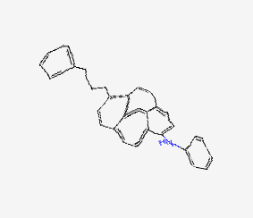 c1ccc(CCCc2ccc3ccc4c(Nc5ccccc5)ccc5ccc2c3c54)cc1